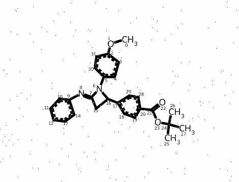 COc1ccc(N2C(=Nc3ccccc3)CC2c2ccc(C(=O)OC(C)(C)C)cc2)cc1